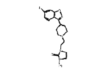 CC(C)N1CCN(CCN2CCC(c3noc4cc(F)ccc34)CC2)C1=O